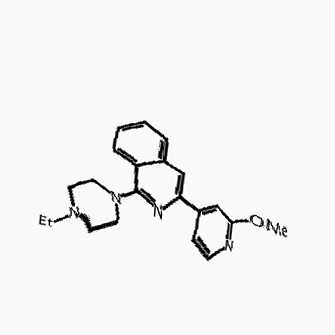 CCN1CCN(c2nc(-c3ccnc(OC)c3)cc3ccccc23)CC1